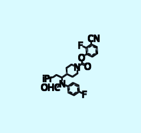 CC(C)CC(C1CCN(C(=O)Oc2cccc(C#N)c2F)CC1)N(C=O)c1ccc(F)cc1